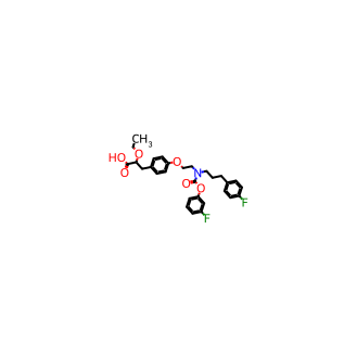 CCOC(Cc1ccc(OCCN(CCCc2ccc(F)cc2)C(=O)Oc2cccc(F)c2)cc1)C(=O)O